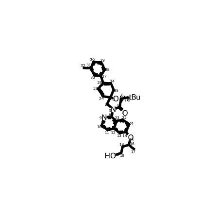 COC1(CN(C(=O)CC(C)(C)C)c2nccc3cc(OC(C)CCO)ccc23)C=CC(c2cccc(C)c2)=CC1